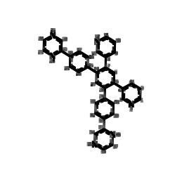 c1cncc(-c2cc(-c3cccnc3)c(-c3ccc(-c4cnccn4)cc3)cc2-c2ccc(-c3cnccn3)cc2)c1